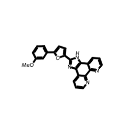 COc1cccc(-c2ccc(-c3nc4c5cccnc5c5ncccc5c4[nH]3)o2)c1